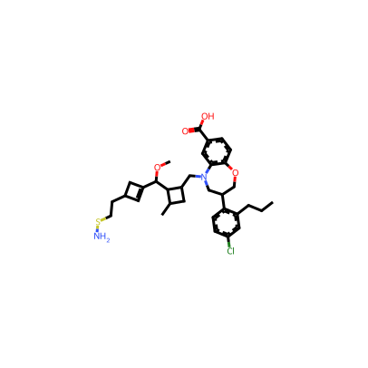 CCCc1cc(Cl)ccc1C1COc2ccc(C(=O)O)cc2N(CC2CC(C)C2C(OC)C2=CC(CCSN)C2)C1